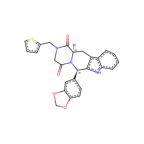 O=C1[C@H]2Cc3c([nH]c4ccccc34)[C@@H](c3ccc4c(c3)OCO4)N2C(=O)CN1Cc1cccs1